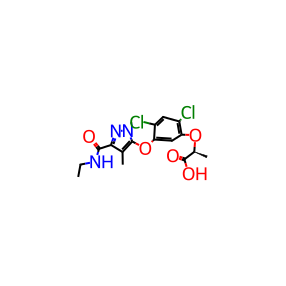 CCNC(=O)c1nn(C)c(Oc2cc(O[C@@H](C)C(=O)O)c(Cl)cc2Cl)c1C